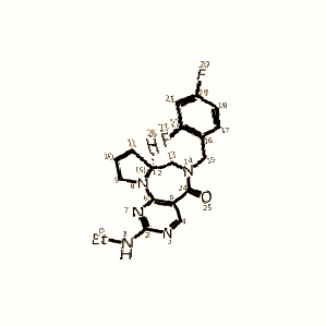 CCNc1ncc2c(n1)N1CCC[C@H]1CN(Cc1ccc(F)cc1F)C2=O